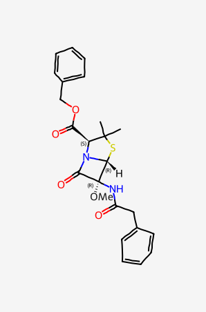 CO[C@]1(NC(=O)Cc2ccccc2)C(=O)N2[C@@H](C(=O)OCc3ccccc3)C(C)(C)S[C@@H]21